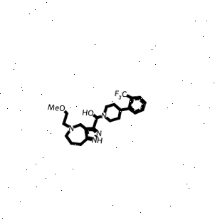 COCCN1CCCc2[nH]nc(C(O)N3CCC(c4ccccc4C(F)(F)F)CC3)c2C1